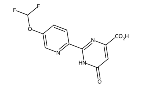 O=C(O)c1cc(=O)[nH]c(-c2ccc(OC(F)F)cn2)n1